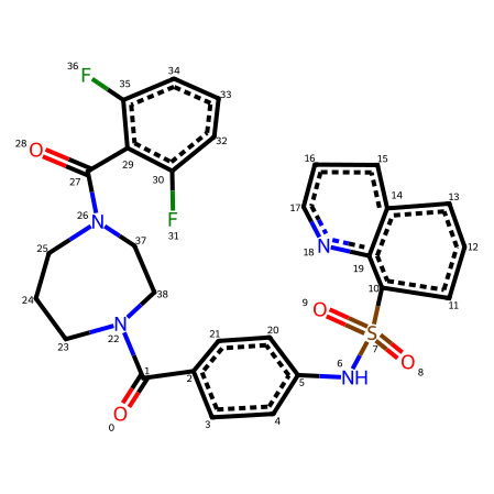 O=C(c1ccc(NS(=O)(=O)c2cccc3cccnc23)cc1)N1CCCN(C(=O)c2c(F)cccc2F)CC1